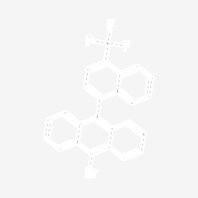 FC(F)(F)c1ccc(-c2c3ccccc3c(Br)c3ccccc23)c2ccccc12